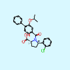 CC(C)Oc1cc(C(=O)N2[C@@H](c3ccccc3Cl)CC[C@H]2C(=O)O)ccc1-c1ccccc1